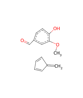 C=C1C=CC=C1.COc1cc(C=O)ccc1O